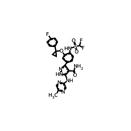 Cc1cnc(Nc2[nH]nc(-c3ccc(NS(=O)(=O)C(F)F)c(OC4(c5ccc(F)cc5)CC4)c3)c2C(N)=O)cn1